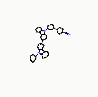 N#Cc1ccc(-c2cccc(-n3c4ccccc4c4cc(-c5ccc6c(c5)c5ccccc5n6-c5ccccc5)ccc43)c2)cc1